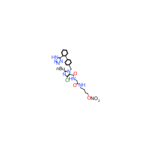 CCCCc1nc(Cl)c(C(=O)NCC(=O)NCCCCO[N+](=O)[O-])n1Cc1ccc(-c2ccccc2-c2nnn[nH]2)cc1